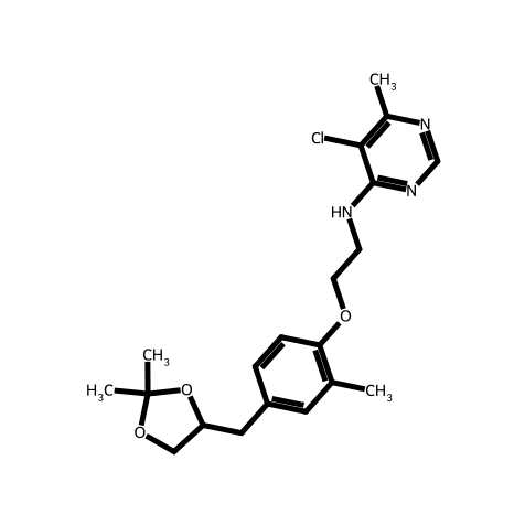 Cc1cc(CC2COC(C)(C)O2)ccc1OCCNc1ncnc(C)c1Cl